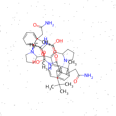 CC1CCC(C2CCCN2[C@@]2(C(=O)NC(=O)O)c3ccc(cc3)C2(C)CC(N)=O)=C(c2ccc(C(C)(C)C)cc2)C1(C)C1CCCN1[C@@]1(C(=O)NC(=O)O)c2ccc(cc2)C1(C)CC(N)=O